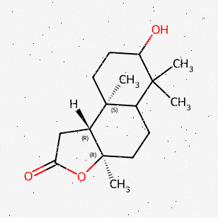 CC1(C)C(O)CC[C@@]2(C)C1CC[C@@]1(C)OC(=O)C[C@@H]12